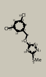 CSc1nsc(OCc2cc(Cl)cc(Cl)c2)n1